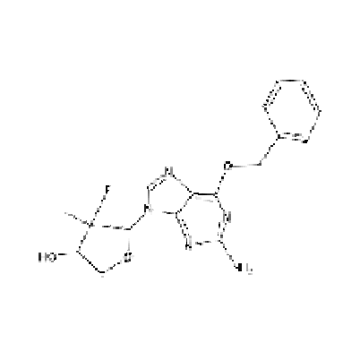 CC1(F)C(O)[CH]OC1n1cnc2c(OCc3ccccc3)nc(N)nc21